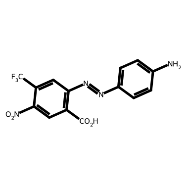 Nc1ccc(/N=N/c2cc(C(F)(F)F)c([N+](=O)[O-])cc2C(=O)O)cc1